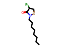 CCCCCCCCN1SCC(Br)C1=O